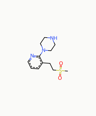 CS(=O)(=O)CCc1cccnc1N1CCNCC1